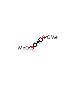 COCCOC1CCC(C(C)(C)C2CCC(OCCOC)CC2)CC1